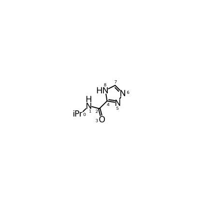 CC(C)NC(=O)c1nnc[nH]1